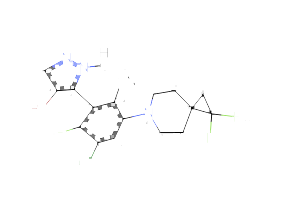 Cn1ncc(Br)c1-c1c(F)c(Cl)cc(N2CCC3(CC2)CC3(F)F)c1C#N